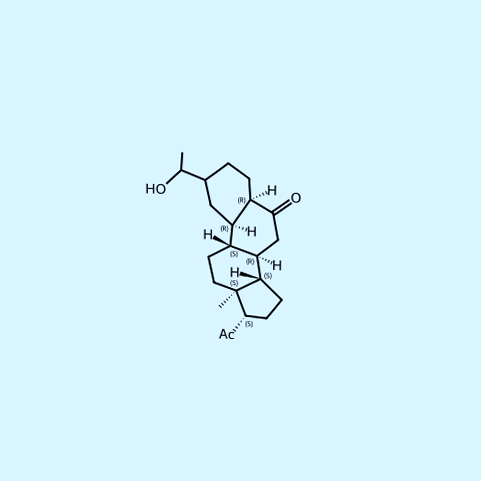 CC(=O)[C@H]1CC[C@H]2[C@@H]3CC(=O)[C@@H]4CCC(C(C)O)C[C@@H]4[C@H]3CC[C@]12C